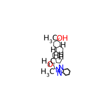 C[C@H](C(=O)[C@H]1CC[C@H]2[C@@H]3CC[C@@H]4C[C@](C)(O)CC[C@@H]4[C@H]3CC[C@]12C)n1nc2ccccc2n1